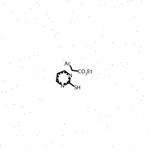 CCOC(=O)CC(C)=O.Sc1ncccn1